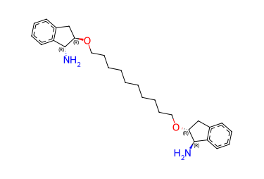 N[C@@H]1c2ccccc2C[C@H]1OCCCCCCCCCCO[C@@H]1Cc2ccccc2[C@H]1N